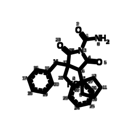 NC(=O)N1C(=O)C(C2(O)CCCC2)C(Cc2ccccc2)(Cc2ccccc2)C1=O